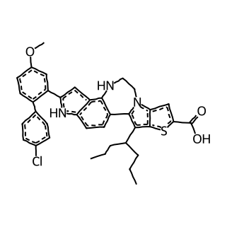 CCCC(CCC)c1c2n(c3cc(C(=O)O)sc13)CCNc1c-2ccc2[nH]c(-c3cc(OC)ccc3-c3ccc(Cl)cc3)cc12